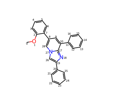 COc1ccccc1-c1cc(-c2ccccc2)c2nc(-c3ccccc3)cn2c1